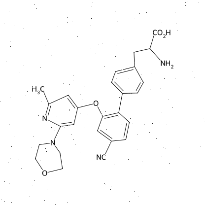 Cc1cc(Oc2cc(C#N)ccc2-c2ccc(CC(N)C(=O)O)cc2)cc(N2CCOCC2)n1